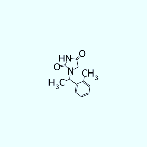 Cc1ccccc1C(C)N1CC(=O)NC1=O